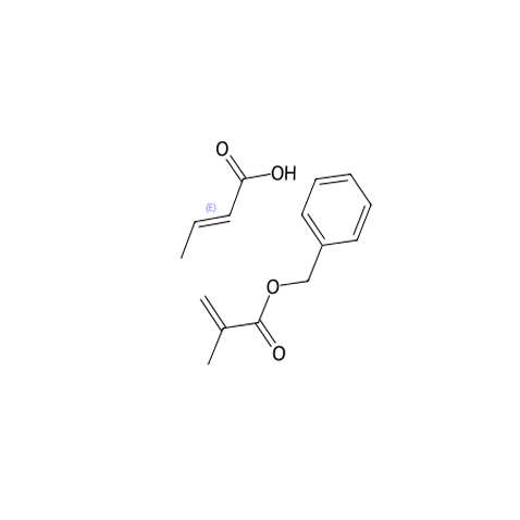 C/C=C/C(=O)O.C=C(C)C(=O)OCc1ccccc1